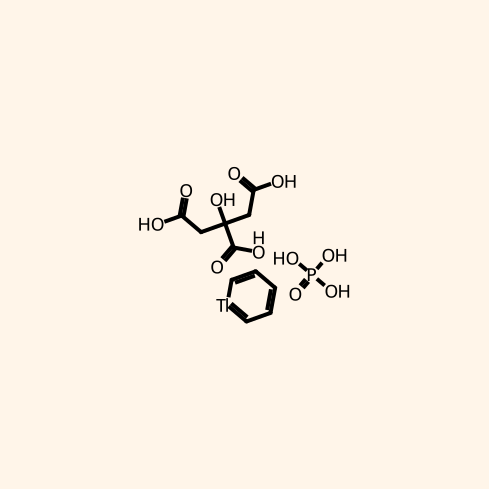 C1=C[CH]=[Tl][CH]=C1.O=C(O)CC(O)(CC(=O)O)C(=O)O.O=P(O)(O)O